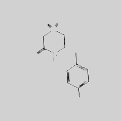 O=C1CS(=O)(=O)C[C@H](Cc2ccc(Cl)cc2)N1